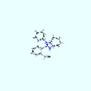 CSc1ccccc1-c1nc2ccccc2n1-c1ccccc1